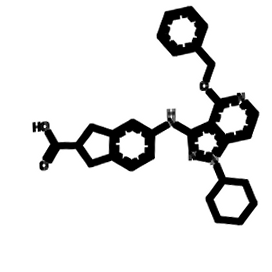 O=C(O)C1Cc2ccc(Nc3nn(C4CCCCC4)c4ccnc(OCc5ccccc5)c34)cc2C1